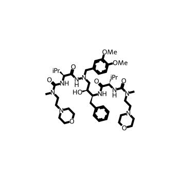 COc1ccc(CN(C[C@H](O)[C@H](Cc2ccccc2)NC(=O)[C@@H](NC(=O)N(C)CCN2CCOCC2)C(C)C)NC(=O)[C@@H](NC(=O)N(C)CCN2CCOCC2)C(C)C)cc1OC